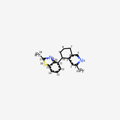 CC(C)c1cc2c(cn1)CCCC2c1cccc2sc(C(C)C)nc12